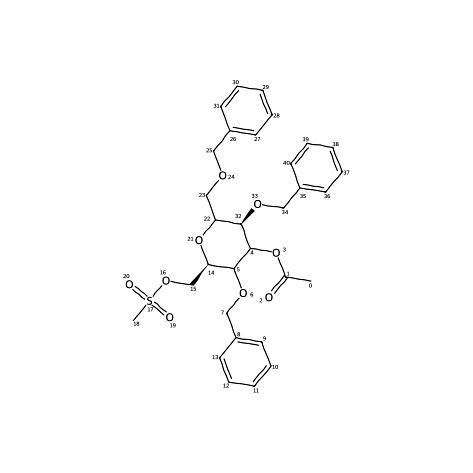 CC(=O)OC1C(OCc2ccccc2)[C@@H](COS(C)(=O)=O)OC(COCc2ccccc2)[C@H]1OCc1ccccc1